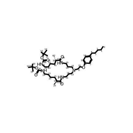 CCCCCc1ccc(OCCN(CCCNC(=O)[C@@H](C)CCCCNC(=O)OC(C)(C)C)CCCNC(=O)[C@@H](C)CCCCNC(=O)OC(C)(C)C)cc1